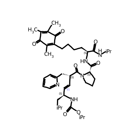 CC1=C(C)C(=O)C(CCCC[C@H](NC(=O)[C@@H]2CCCN2C(=O)[C@H](/C=C/[C@H](CC(C)C)NC(=O)OC(C)C)Cc2ccccn2)C(=O)NC(C)C)=C(C)C1=O